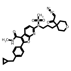 CNC(=O)c1c(-c2ccc(CC3CC3)cc2)oc2nc(N(CCCC3(C(=O)C=[N+]=[N-])CCOCC3)S(C)(=O)=O)ccc12